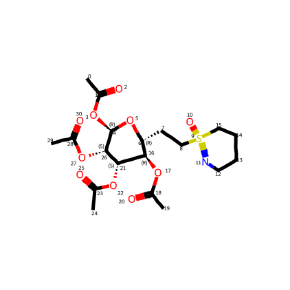 CC(=O)O[C@H]1O[C@H](CCS2(=O)=NCCCC2)[C@@H](OC(C)=O)[C@H](OC(C)=O)[C@@H]1OC(C)=O